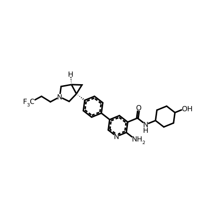 Nc1ncc(-c2ccc([C@@]34C[C@@H]3CN(CCC(F)(F)F)C4)cc2)cc1C(=O)NC1CCC(O)CC1